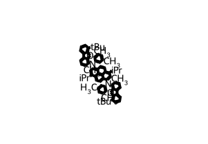 Cc1cc(C)cc(N(c2cc(C(C)C)c3ccc4c(N(c5cc(C)cc(C)c5)c5c(C)ccc6c5oc5c(C(C)(C)C)cccc56)cc(C(C)C)c5ccc2c3c54)c2c(C)ccc3c2oc2c(C(C)(C)C)cccc23)c1